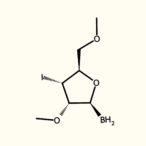 B[C@@H]1O[C@H](COC)[C@@H](I)[C@H]1OC